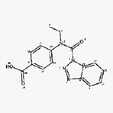 CCN(C(=O)n1nnc2ccccc21)c1ccc(C(=O)O)cc1